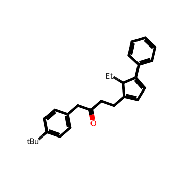 CCC1C(CCC(=O)Cc2ccc(C(C)(C)C)cc2)=CC=C1c1ccccc1